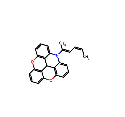 C/C=C\C=C(/C)N1c2cccc3c2C2c4c(cccc4Oc4cccc1c42)O3